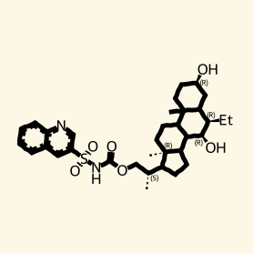 CC[C@@H]1C2C[C@H](O)CCC2(C)C2CC[C@@]3(C)C(CCC3[C@H](C)COC(=O)NS(=O)(=O)c3cnc4ccccc4c3)C2[C@@H]1O